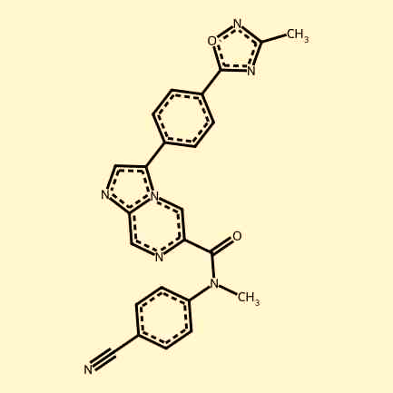 Cc1noc(-c2ccc(-c3cnc4cnc(C(=O)N(C)c5ccc(C#N)cc5)cn34)cc2)n1